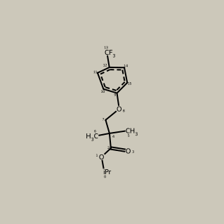 CC(C)OC(=O)C(C)(C)COc1ccc(C(F)(F)F)cc1